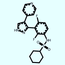 O=S(=O)(Nc1ccc(F)c(-c2n[nH]cc2-c2ccncc2)c1F)C1CCCCC1